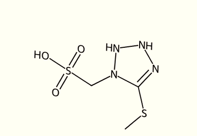 CSC1=NNNN1CS(=O)(=O)O